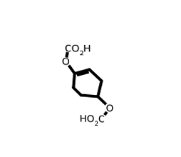 O=C(O)OC1=CCC(OC(=O)O)CC1